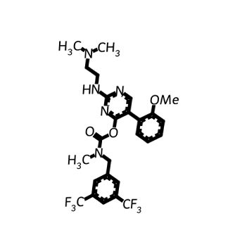 COc1ccccc1-c1cnc(NCCN(C)C)nc1OC(=O)N(C)Cc1cc(C(F)(F)F)cc(C(F)(F)F)c1